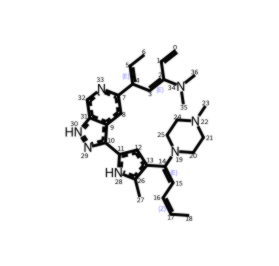 C=C/C(=C\C(=C/C)c1cc2c(-c3cc(/C(=C\C=C/C)N4CCN(C)CC4)c(C)[nH]3)n[nH]c2cn1)N(C)C